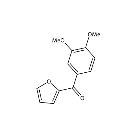 COc1ccc(C(=O)c2ccco2)cc1OC